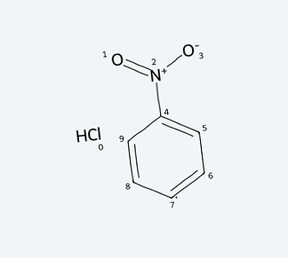 Cl.O=[N+]([O-])c1cc[c]cc1